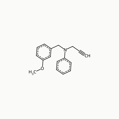 C#CCN(Cc1cccc(OC)c1)c1ccccc1